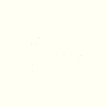 CC(C)c1ccc(C(=O)N2CCC2)cc1CC(C)c1ccc(Oc2cnn(C)c2)cc1